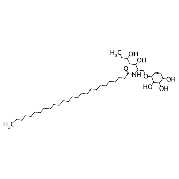 CCCCCCCCCCCCCCCCCCCCCCCCCC(=O)NC(COC1C=CC(O)C(O)C1O)C(O)CC(O)CC